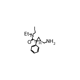 CCN(CI)C(=O)[C@@]1(c2ccccc2)C[C@H]1CN